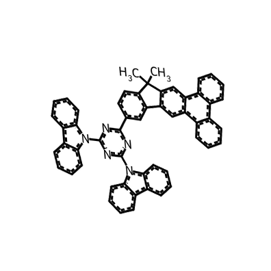 CC1(C)c2ccc(-c3nc(-n4c5ccccc5c5ccccc54)nc(-n4c5ccccc5c5ccccc54)n3)cc2-c2cc3c4ccccc4c4ccccc4c3cc21